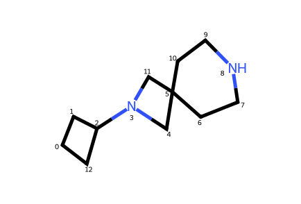 C1CC(N2CC3(CCNCC3)C2)C1